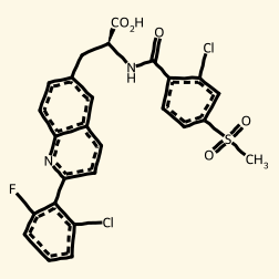 CS(=O)(=O)c1ccc(C(=O)N[C@@H](Cc2ccc3nc(-c4c(F)cccc4Cl)ccc3c2)C(=O)O)c(Cl)c1